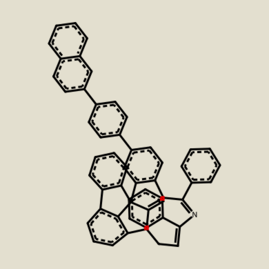 C1=C(c2ccccc2)/N=C(/c2ccccc2)C2=C3C(C/1)c1cccc4c1C3(c1cc(-c3ccc(-c5ccc6ccccc6c5)cc3)ccc12)c1ccccc1-4